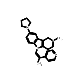 C/C(=C/n1c2c(c3cc(N4CCCC4)ccc31)CN(C)CC2)c1ccncc1